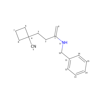 C=C(CCC1(C#N)CCC1)NCc1ccccc1